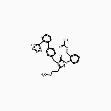 CCCCc1nn(-c2ccccc2COC(C)=O)c(=O)n1Cc1ccc(-c2ccccc2-c2nnn[nH]2)cc1